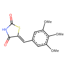 COc1cc(/C=C2\SC(=O)NC2=O)cc(OC)c1OC